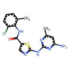 Cc1cc(N)nc(Nc2ncc(C(=O)Nc3c(C)cccc3Cl)s2)n1